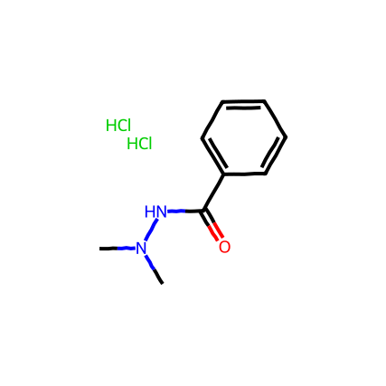 CN(C)NC(=O)c1ccccc1.Cl.Cl